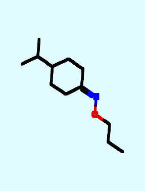 CCCON=C1CCC(C(C)C)CC1